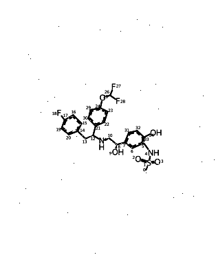 CS(=O)(=O)Nc1cc([C@@H](O)CN[C@@H](Cc2ccc(F)cc2)c2ccc(OC(F)F)cc2)ccc1O